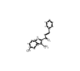 Nc1c(C(=O)C=Cc2ccccc2)oc2ccc(Cl)cc12